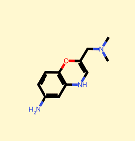 CN(C)CC1=CNc2cc(N)ccc2O1